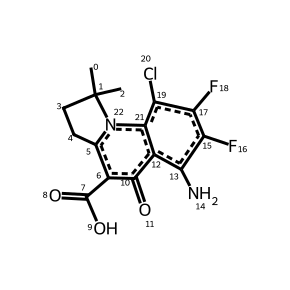 CC1(C)CCc2c(C(=O)O)c(=O)c3c(N)c(F)c(F)c(Cl)c3n21